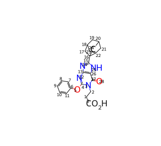 O=C(O)CCn1c(Oc2ccccc2)nc2nc(C34CC5CC(CC3C5)C4)[nH]c2c1=O